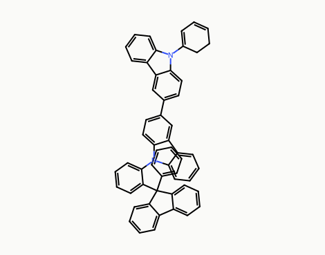 C1=CCCC(n2c3ccccc3c3cc(-c4ccc5c(c4)c4ccccc4n5-c4ccccc4C4(c5ccccc5)c5ccccc5-c5ccccc54)ccc32)=C1